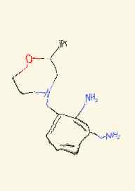 CC(C)C1CN(c2cccc(N)c2N)CCO1